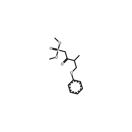 COP(=O)(CC(=O)C(C)COc1ccccc1)OC